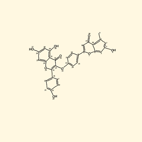 Cc1cc(O)cc2oc(-c3ccc(Oc4c(-c5ccc(O)cc5)oc5cc(O)cc(O)c5c4=O)cc3)cc(=O)c12